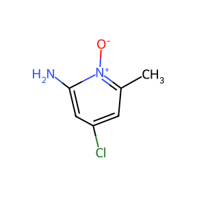 Cc1cc(Cl)cc(N)[n+]1[O-]